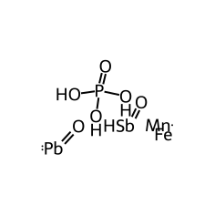 O=P(O)(O)O.[Fe].[Mn].[O]=[Pb].[O]=[SbH]